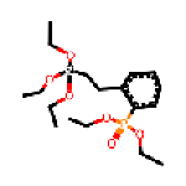 CCO[Si](CCc1ccccc1P(=O)(OCC)OCC)(OCC)OCC